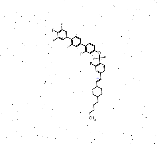 CCCCCC1CCC(/C=C/c2ccc(C(F)(F)Oc3ccc(-c4ccc(-c5cc(F)c(F)c(F)c5)c(F)c4)c(F)c3)c(F)c2)CC1